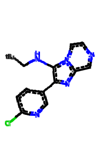 CC(C)(C)CNc1c(-c2ccc(Cl)nc2)nc2cnccn12